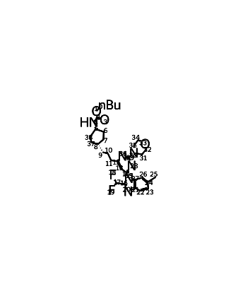 CCCCOC(=O)N[C@H]1CC[C@H](CCCc2cc(-n3c(C(F)F)nc4ccc(C)cc43)nc(N3CCOCC3)n2)CC1